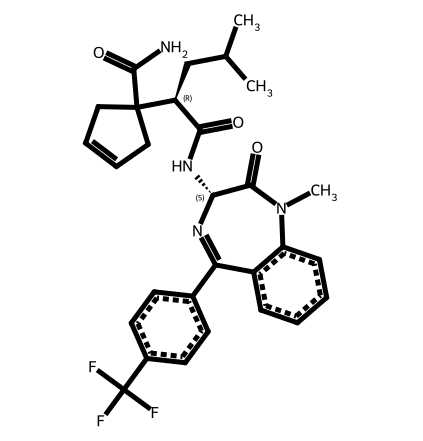 CC(C)C[C@@H](C(=O)N[C@H]1N=C(c2ccc(C(F)(F)F)cc2)c2ccccc2N(C)C1=O)C1(C(N)=O)CC=CC1